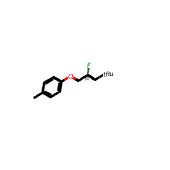 Cc1ccc(OC[C@@H](F)CC(C)(C)C)cc1